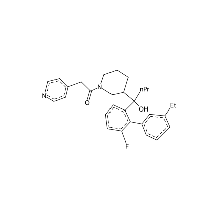 [CH2]CCC(O)(c1cccc(F)c1-c1cccc(CC)c1)C1CCCN(C(=O)Cc2ccncc2)C1